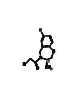 C[C@@H]1COc2ccc(F)cc2CN1C(=O)CBr